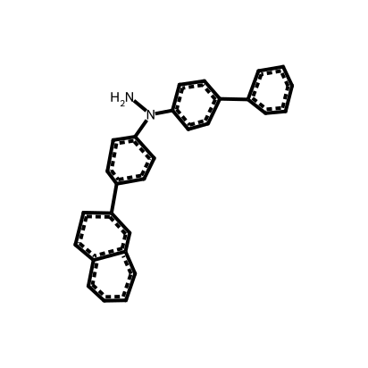 NN(c1ccc(-c2ccccc2)cc1)c1ccc(-c2ccc3ccccc3c2)cc1